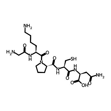 NCCCC[C@H](NC(=O)CN)C(=O)N1CCC[C@H]1C(=O)N[C@@H](CS)C(=O)N[C@@H](CC(N)=O)C(=O)O